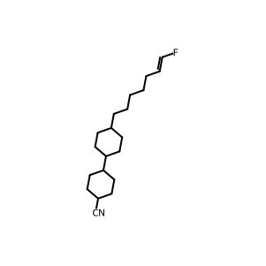 N#CC1CCC(C2CCC(CCCCC/C=C/F)CC2)CC1